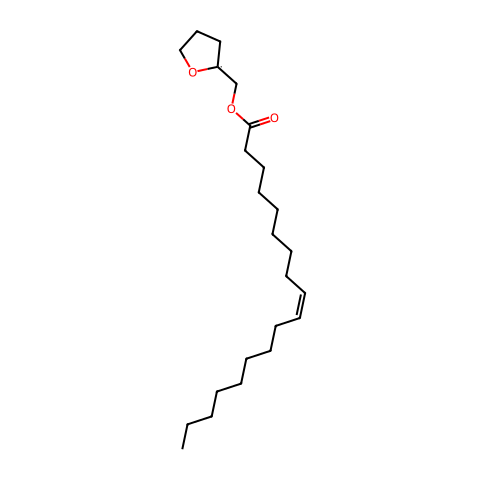 CCCCCCCC/C=C\CCCCCCCC(=O)OC[C]1CCCO1